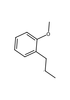 C[CH]Cc1ccccc1OC